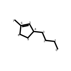 CCCCC1C=C(C)CC1